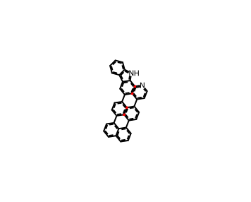 c1cc(-c2ccc(-c3ccncc3)cc2)c2c(-c3ccc(-c4ccc5[nH]c6ccccc6c5c4)cc3)cccc2c1